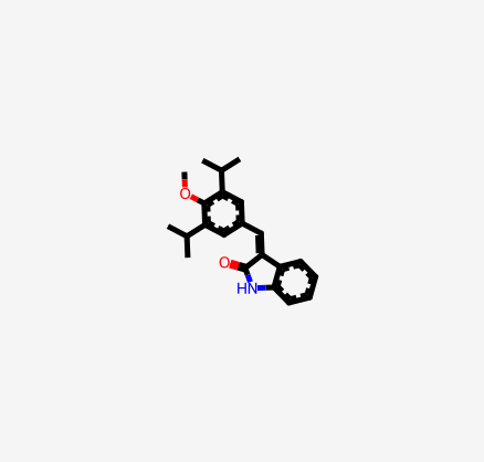 COc1c(C(C)C)cc(C=C2C(=O)Nc3ccccc32)cc1C(C)C